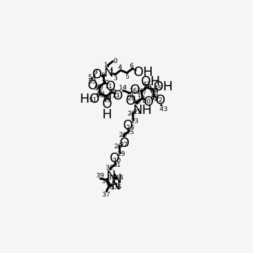 CCN(CCCCO)C(=O)C1O[C@@H](OCCO[C@@H]2C(C(=O)NCCOCCOCCOCCn3nnc(C)c3C)O[C@@H](OC)[C@@H](O)[C@H]2O)[C@@H](O)[C@@H](O)[C@@H]1OC